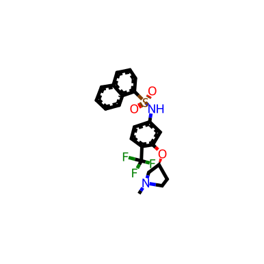 CN1CC[C@H](Oc2cc(NS(=O)(=O)c3cccc4ccccc34)ccc2C(F)(F)F)C1